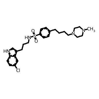 CN1CCN(CCCCc2ccc(S(=O)(=O)NCCCc3c[nH]c4ccc(Cl)cc34)cc2)CC1